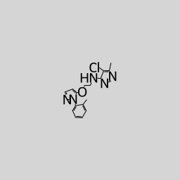 Cc1ccccc1-n1nccc1OCCNc1ncnc(C)c1Cl